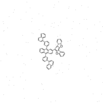 C1=CC2Oc3c(cc(-c4ccc5c(-c6cccc(-c7cccc8ccccc78)c6)c6ccccc6c(-c6cccc(-c7cccc8ccccc78)c6)c5c4)c4oc5ccccc5c34)C2C=C1